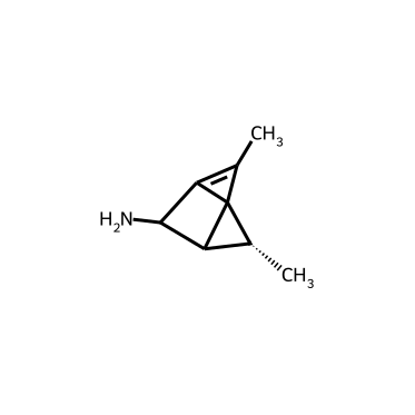 CC1=C2C(N)C3[C@@H](C)C123